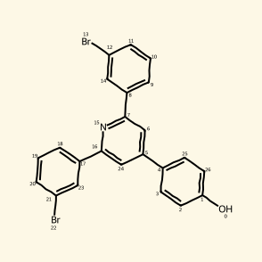 Oc1ccc(-c2cc(-c3cccc(Br)c3)nc(-c3cccc(Br)c3)c2)cc1